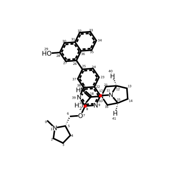 CN1CCC[C@H]1COc1nc(N2[C@@H]3CC[C@H]2CN(C(=N)N)C3)c2ccc(-c3cc(O)cc4ccccc34)cc2n1